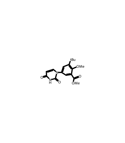 COC(=O)c1cc(-n2ccc(=O)[nH]c2=O)cc(C(C)(C)C)c1OC